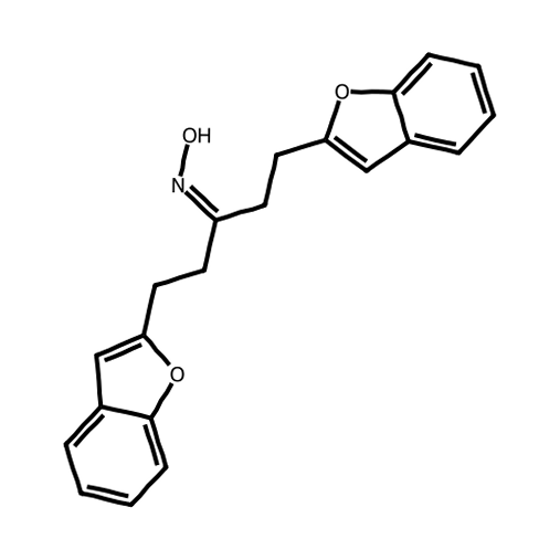 ON=C(CCc1cc2ccccc2o1)CCc1cc2ccccc2o1